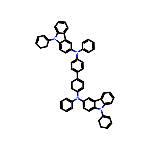 C1=CCCC(n2c3ccccc3c3cc(N(C4=CC=C(c5ccc(N(c6ccccc6)c6ccc7c(c6)c6ccccc6n7C6=CC=CCC6)cc5)CC4)c4ccccc4)ccc32)=C1